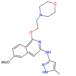 COc1ccc2c(OCCN3CCOCC3)nc(Nc3cc(C)[nH]n3)cc2c1